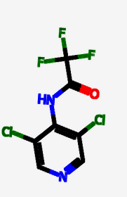 O=C(Nc1c(Cl)cncc1Cl)C(F)(F)F